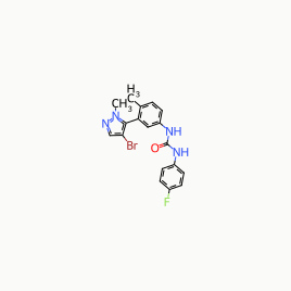 Cc1ccc(NC(=O)Nc2ccc(F)cc2)cc1-c1c(Br)cnn1C